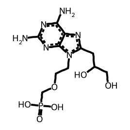 Nc1nc(N)c2nc(CC(O)CO)n(CCOCP(=O)(O)O)c2n1